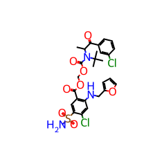 CC(C(=O)c1cccc(Cl)c1)N(C(=O)OCOC(=O)c1cc(S(N)(=O)=O)c(Cl)cc1NCc1ccco1)C(C)(C)C